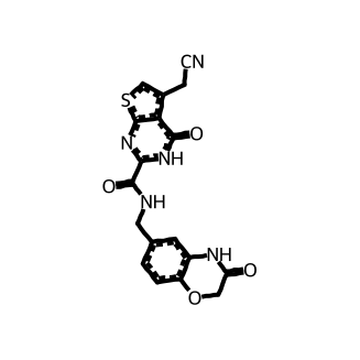 N#CCc1csc2nc(C(=O)NCc3ccc4c(c3)NC(=O)CO4)[nH]c(=O)c12